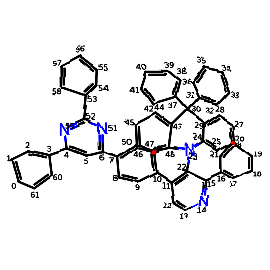 c1ccc(-c2cc(-c3ccc(-c4ccnc(-c5ccccc5)c4N4c5ccccc5C(c5ccccc5)(c5ccccc5)c5ccccc54)cc3)nc(-c3ccccc3)n2)cc1